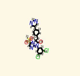 C[C@@]1(Cc2ccc(-c3cncnc3)cc2)C(=O)N(c2cc(Cl)cc(Cl)c2)c2ncc(S(C)(=O)=O)n21